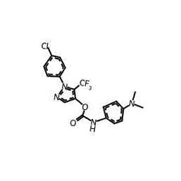 CN(C)c1ccc(NC(=O)Oc2cnn(-c3ccc(Cl)cc3)c2C(F)(F)F)cc1